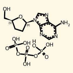 Nc1ncnc2c1ncn2[C@H]1CC[C@@H](CO)O1.O=P(O)(O)OP(=O)(O)OP(=O)(O)O